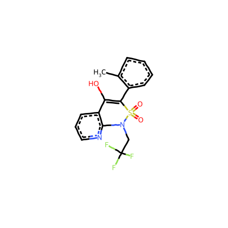 Cc1ccccc1C1=C(O)c2cccnc2N(CC(F)(F)F)S1(=O)=O